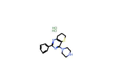 Cl.Cl.c1ccc(-c2nc3c(c(N4CCNCC4)n2)SCCC3)cc1